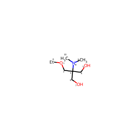 CCOCC(CO)(CO)N(C)C